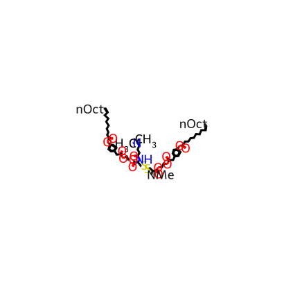 CCCCCCCC/C=C\CCCCCCCC(=O)Oc1ccc(CC(=O)OCCOC(=O)C(CSSCC(NC(=O)CCCN(C)C)C(=O)OCCOC(=O)Cc2ccc(OC(=O)CCCCCCC/C=C\CCCCCCCC)cc2)NC)cc1